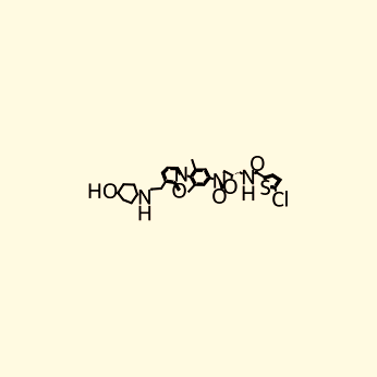 Cc1cc(N2C[C@H](CNC(=O)c3ccc(Cl)s3)OC2=O)cc(C)c1-n1cccc(CCN[C@H]2CC[C@H](O)CC2)c1=O